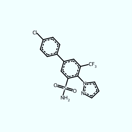 NS(=O)(=O)c1cc(-c2ccc(Cl)cc2)cc(C(F)(F)F)c1-n1cccn1